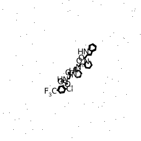 O=C([C@@H]1CCCCN1C(=O)c1cc2ccccc2[nH]1)N1C[C@@H]2C1CCCN2C(=O)CNS(=O)(=O)c1cc(C(F)(F)F)ccc1Cl